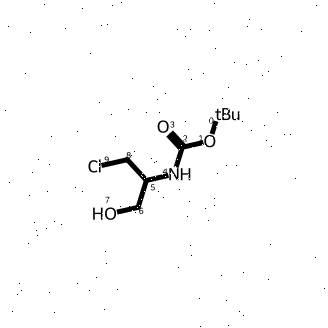 CC(C)(C)OC(=O)NC(CO)CCl